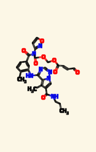 CCCNC(=O)c1cn2ncnc(Nc3cc(C(=O)N(C(=O)OCOC(=O)/C=C/C=O)c4ccon4)ccc3C)c2c1C